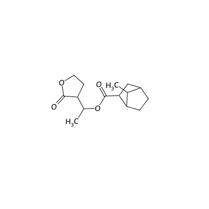 CC(OC(=O)C1CC2CCC1C2C)C1CCOC1=O